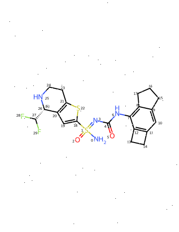 NS(=O)(=NC(=O)Nc1c2c(cc3c1CC3)CCC2)c1cc2c(s1)CCN[C@H]2C(F)F